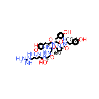 CC[C@H](C)[C@H](NC(=O)[C@H](CO)NC(=O)[C@@H](N)CCCNC(=N)N)C(=O)N[C@@H](Cc1ccc(O)cc1)C(=O)N[C@@H](Cc1ccc(O)cc1)C(=O)N1CCC[C@H]1C(=O)N[C@@H](Cc1ccc(O)cc1)C(=O)O